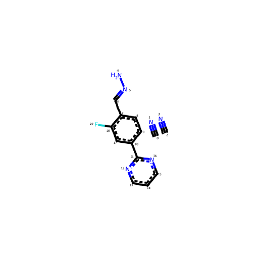 C#N.C#N.NN=Cc1ccc(-c2ncccn2)cc1F